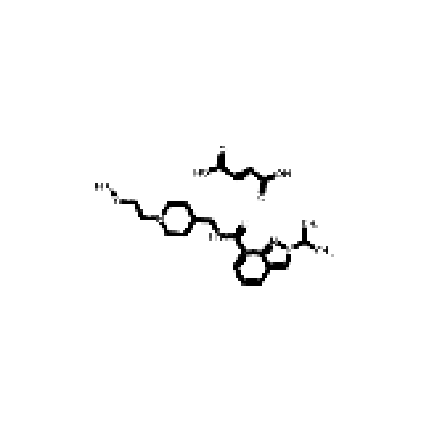 COCCN1CCC(CNC(=O)c2cccc3cn(C(C)C)nc23)CC1.O=C(O)C=CC(=O)O